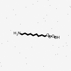 NCCCCCCCCCOOOO